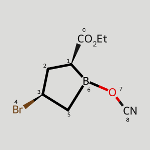 CCOC(=O)[C@@H]1C[C@H](Br)CB1OC#N